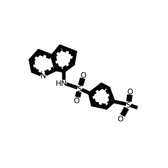 CS(=O)(=O)c1ccc(S(=O)(=O)Nc2cccc3cccnc23)cc1